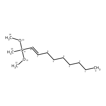 CCCCCCCC=C[Si](C)(OC)OC